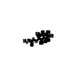 CCOP(=O)(OCC)C(NC(=O)CCC(N)=O)P(=O)(OCC)OCC